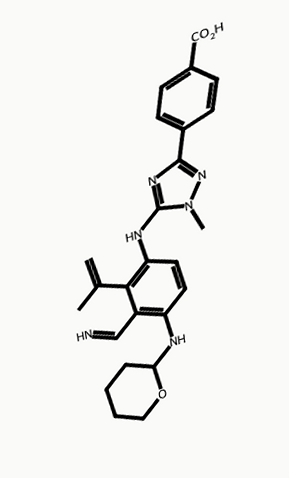 C=C(C)c1c(Nc2nc(-c3ccc(C(=O)O)cc3)nn2C)ccc(NC2CCCCO2)c1C=N